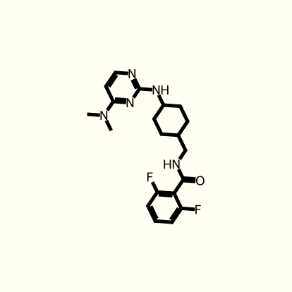 CN(C)c1ccnc(NC2CCC(CNC(=O)c3c(F)cccc3F)CC2)n1